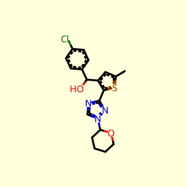 Cc1cc(C(O)c2ccc(Cl)cc2)c(-c2ncn(C3CCCCO3)n2)s1